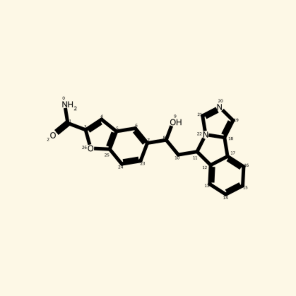 NC(=O)c1cc2cc(C(O)CC3c4ccccc4-c4cncn43)ccc2o1